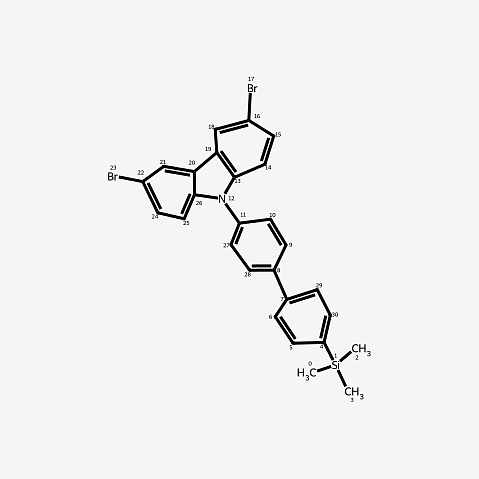 C[Si](C)(C)c1ccc(-c2ccc(-n3c4ccc(Br)cc4c4cc(Br)ccc43)cc2)cc1